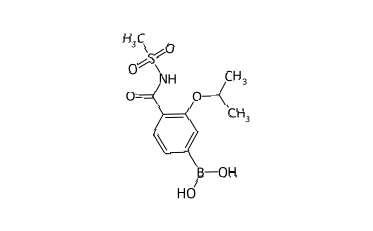 CC(C)Oc1cc(B(O)O)ccc1C(=O)NS(C)(=O)=O